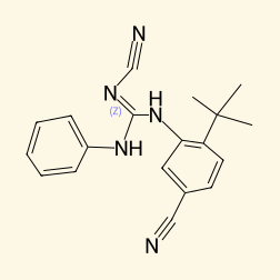 CC(C)(C)c1ccc(C#N)cc1N/C(=N\C#N)Nc1ccccc1